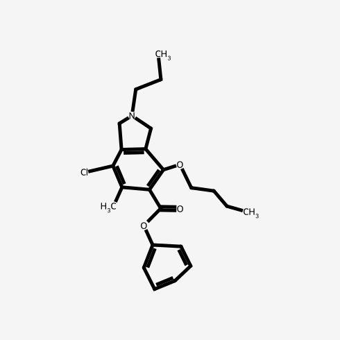 CCCCOc1c2c(c(Cl)c(C)c1C(=O)Oc1ccccc1)CN(CCC)C2